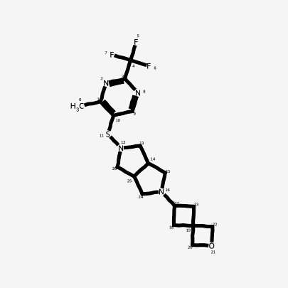 Cc1nc(C(F)(F)F)ncc1SN1CC2CN(C3CC4(COC4)C3)CC2C1